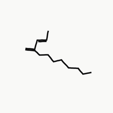 C=C(C=CC)CCCCCCCC